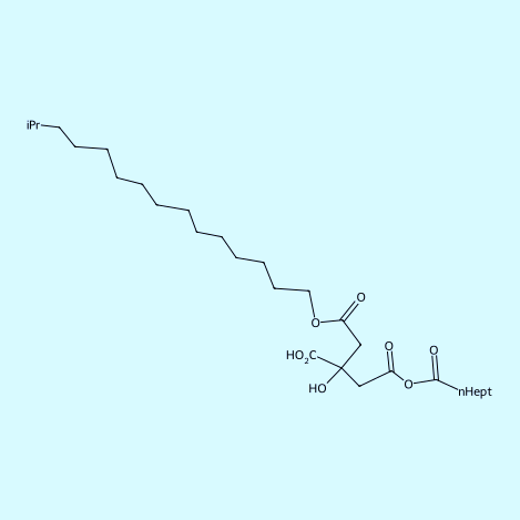 CCCCCCCC(=O)OC(=O)CC(O)(CC(=O)OCCCCCCCCCCCCCC(C)C)C(=O)O